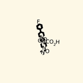 CN(C)C(=O)N1CCN(S(=O)(=O)N2CCC(c3ccc(F)cc3)CC2)[C@@H](C(=O)O)C1